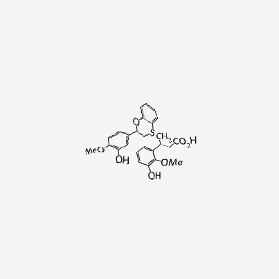 COc1c(O)cccc1C(C)CC(=O)O.COc1ccc(C2CSc3ccccc3O2)cc1O